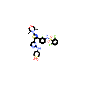 C[C@H]1COC[C@H](C)N1c1nc(-c2cccc(NS(=O)(=O)c3c(F)cccc3F)c2F)c(-c2ccnc(NC3CCS(=O)(=O)CC3)n2)s1